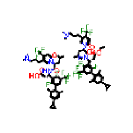 CCOC(=O)C[C@H](NC(=O)C(CC(C)C)n1cc(CCCN(C)C)c(C(F)(F)F)cc1=O)c1c(F)c(-c2c(C)cc(C3CC3)cc2C)cc(C(F)(F)F)c1F.Cc1cc(C2CC2)cc(C)c1-c1cc(C(F)(F)F)c(F)c([C@H](CC(=O)O)NC(=O)C(CC(C)C)n2cc(CCCN(C)C)c(C(F)(F)F)cc2=O)c1F